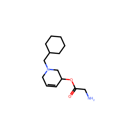 NCC(=O)OC1C=CCN(CC2CCCCC2)C1